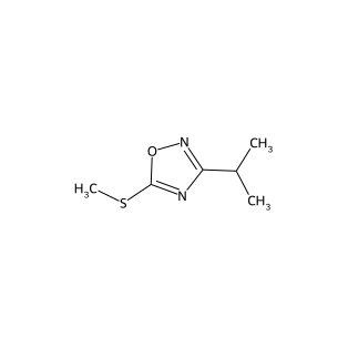 CSc1nc(C(C)C)no1